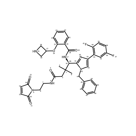 CC(C)(CC(=O)NCCN1C(=O)C=CC1=O)[C@@H](NC(=O)c1ccccc1OC1CNC1)c1nc(-c2cc(F)ccc2F)cn1Cc1ccccc1